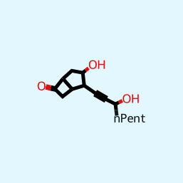 CCCCCC(O)C#CC1C(O)CC2C(=O)CC21